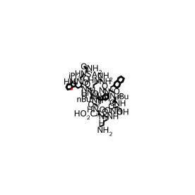 CCCC[C@H](NC(=O)[C@H](Cc1c[nH]c2ccccc12)NC(=O)[C@H](CC(=O)O)NC(=O)[C@@H](CCCCN)NC(=O)NC(=O)[C@H](CO)NC(=O)[C@@H](NC(=O)[C@H](Cc1ccc2ccccc2c1)NC(N)=O)[C@@H](C)CC)C(=O)N[C@@H](CCCNC(=N)N)C(=O)NC(Cc1c[nH]c2ccccc12)C(=O)N[C@@H](C(=O)NC(SCC(C)=O)C(N)=O)C(C)C